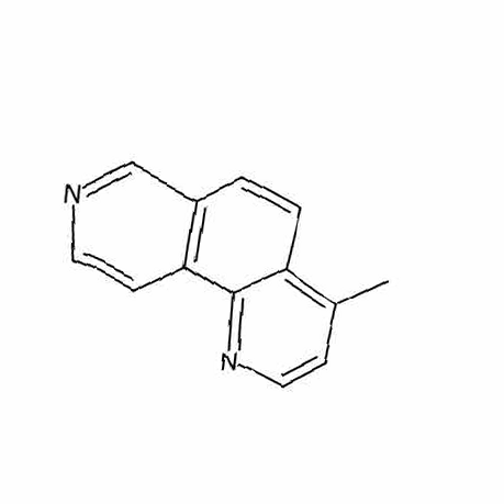 Cc1ccnc2c1ccc1cnccc12